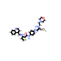 O=C(Nc1ccc(NC=C(NCCN2CCOCC2)[N+](=O)[O-])cc1)c1sccc1NCc1ccnc2ccccc12